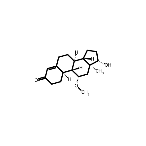 CO[C@H]1C[C@]2(C)[C@@H](O)CC[C@H]2[C@@H]2CCC3=CC(=O)CC[C@@H]3[C@H]21